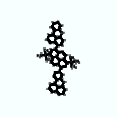 C[Si](C)(C)c1cc(-c2ccc3c(c2)Oc2cccc4cccc-3c24)c2ccc3c([Si](C)(C)C)cc(-c4ccc5c6c(cccc46)-c4ccccc4O5)c4ccc1c2c43